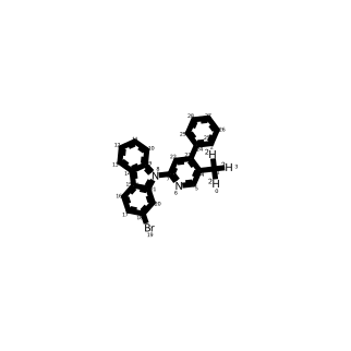 [2H]C([2H])([2H])c1cnc(-n2c3ccccc3c3ccc(Br)cc32)cc1-c1ccccc1